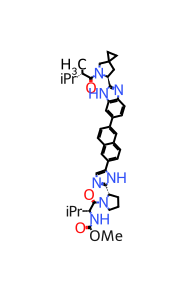 COC(=O)N[C@H](C(=O)N1CCC[C@H]1c1ncc(-c2ccc3cc(-c4ccc5nc([C@@H]6CC7(CC7)CN6C(=O)[C@@H](C)C(C)C)[nH]c5c4)ccc3c2)[nH]1)C(C)C